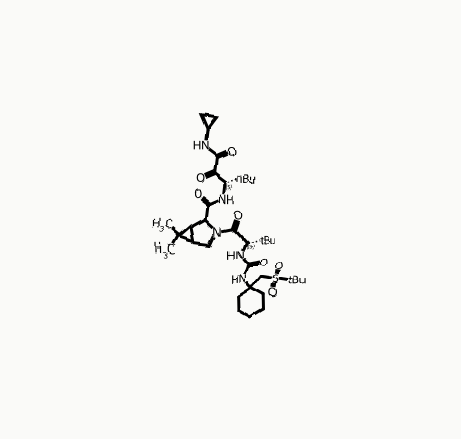 CCCC[C@H](NC(=O)C1C2C(CN1C(=O)[C@@H](NC(=O)NC1(CS(=O)(=O)C(C)(C)C)CCCCC1)C(C)(C)C)C2(C)C)C(=O)C(=O)NC1CC1